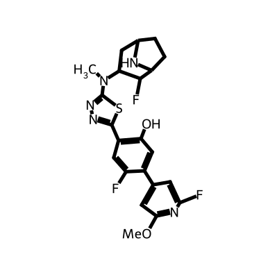 COc1cc(-c2cc(O)c(-c3nnc(N(C)C4CC5CCC(N5)C4F)s3)cc2F)cc(F)n1